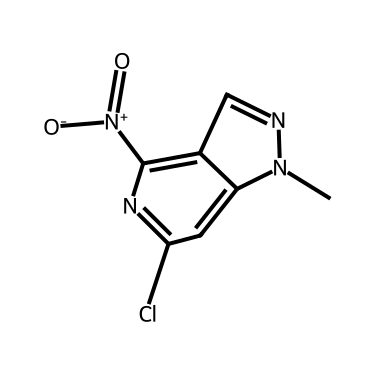 Cn1ncc2c([N+](=O)[O-])nc(Cl)cc21